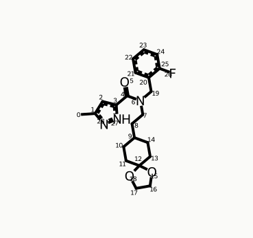 Cc1cc(C(=O)N(CCC2CCC3(CC2)OCCO3)Cc2ccccc2F)[nH]n1